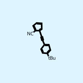 CC(C)(C)c1ccc(C#Cc2ccccc2C#N)cc1